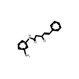 Nc1cccc(NC(=O)CC(Cl)/C=C/c2ccccc2)c1